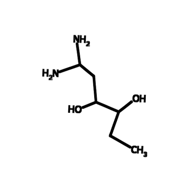 CCC(O)C(O)CC(N)N